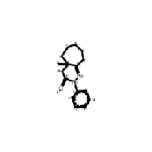 CC12CCCCCC1=NN(c1ccccc1)C(=O)C2